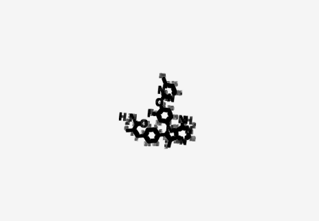 CC(=Cc1ccc(-c2c(C)c3ncnc(N)c3n2-c2ccc(Oc3nccc(C)n3)c(F)c2)cc1)C(N)=O